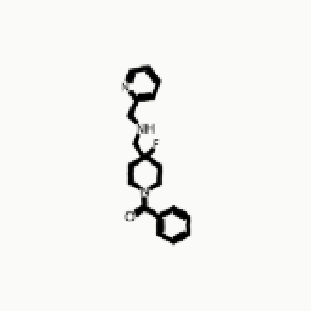 O=C(c1ccccc1)N1CCC(F)(CNCc2ccccn2)CC1